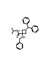 CC(C)NC(=O)C1(NCc2ccccc2)CN(C(c2ccccc2)c2ccccc2)C1